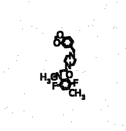 Cc1cc(F)c(N(C)CC(=O)N2CCN(Cc3ccc4c(c3)OCO4)CC2)cc1F